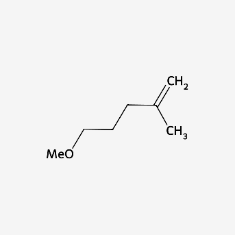 [CH2]OCCCC(=C)C